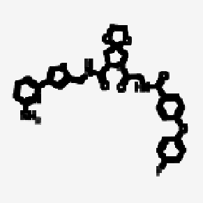 Nc1cccc(-c2csc(CNC(=O)C3CC4(CN3C(=O)CNC(=O)c3ccc(Oc5ccc(F)cc5)cc3)OCCO4)c2)n1